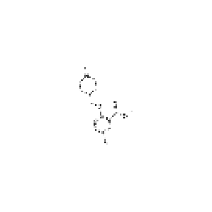 COC(=O)c1cc(Br)ccc1OCC1CCN(C)CC1